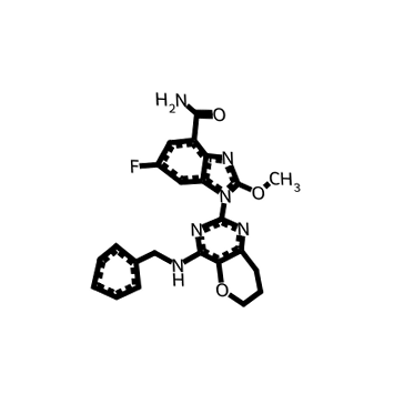 COc1nc2c(C(N)=O)cc(F)cc2n1-c1nc2c(c(NCc3ccccc3)n1)OCCC2